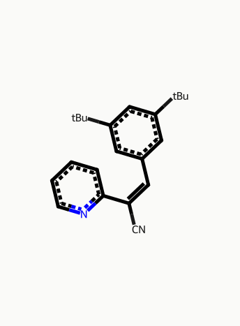 CC(C)(C)c1cc(C=C(C#N)c2ccccn2)cc(C(C)(C)C)c1